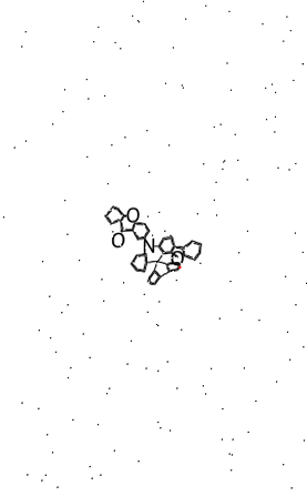 O=c1c2ccccc2oc2ccc(N3c4ccccc4C4(c5ccccc5-c5ccccc54)c4c3ccc3c4oc4ccccc43)cc12